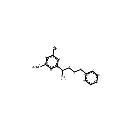 CC(=O)Nc1cc(O)cc(C(C)CCCc2ccccc2)c1